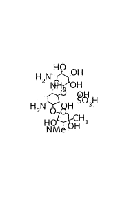 CN[C@@H]1[C@@H](O)[C@@H](O[C@@H]2[C@@H](O)[C@H](O[C@H]3O[C@H](CN)[C@@H](O)[C@H](O)[C@H]3O)[C@@H](N)C[C@H]2N)OC[C@]1(C)O.O=S(=O)(O)O